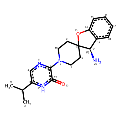 CC(C)c1cnc(N2CCC3(CC2)Oc2ccccc2[C@H]3N)c(=O)[nH]1